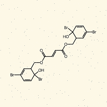 O=C(/C=C/C(=O)OCC1C=C(Br)C=CC1(O)Br)OCC1C=C(Br)C=CC1(O)Br